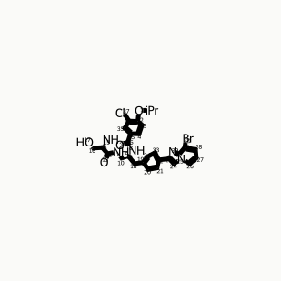 CC(C)Oc1ccc(C(=O)N[C@H](CNC(=O)[C@@H](N)CO)Cc2ccc(-c3cn4cccc(Br)c4n3)cc2)cc1Cl